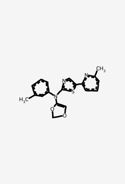 Cc1cccc(N(C2=COCO2)c2ncc(-c3cccc(C)n3)s2)c1